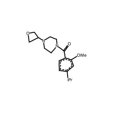 COc1cc(C(C)C)ccc1C(=O)N1CCN(C2COC2)CC1